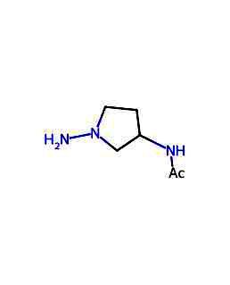 CC(=O)NC1CCN(N)C1